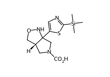 C[Si](C)(C)c1ncc(C23CN(C(=O)O)C[C@@H]2CON3)s1